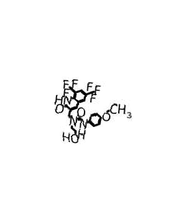 CCOc1ccc(NC(=O)N(CCO)Cc2cc3cc(C(F)(F)F)cc(C(F)(F)F)c3[nH]c2=O)cc1